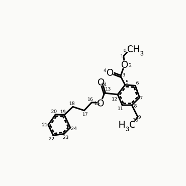 CCOC(=O)c1ccc(CC)cc1C(=O)OCCCc1ccccc1